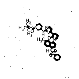 Cc1ccc2c(NS(=O)(=O)C3CCCCC3)cccc2c1Oc1ncccc1-c1ccnc(N[C@H]2CCCN(C(=O)OC(C)(C)C)C2)n1